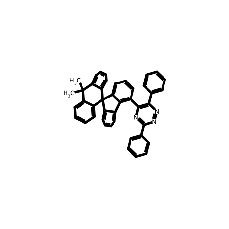 CC1(C)c2ccccc2C2(c3ccccc3-c3c(-c4nc(-c5ccccc5)nnc4-c4ccccc4)cccc32)c2ccccc21